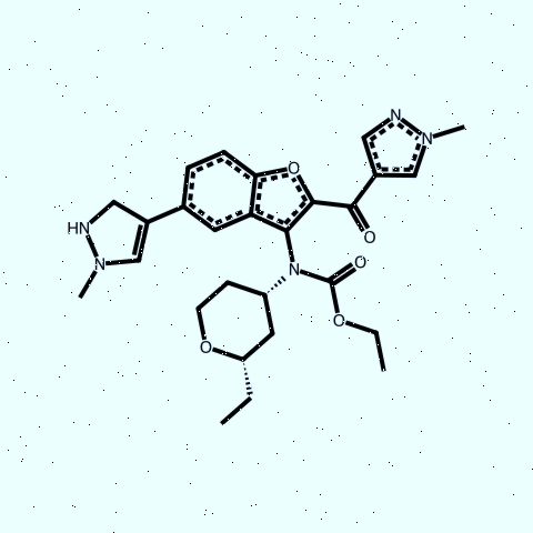 CCOC(=O)N(c1c(C(=O)c2cnn(C)c2)oc2ccc(C3=CN(C)NC3)cc12)[C@H]1CCO[C@@H](CC)C1